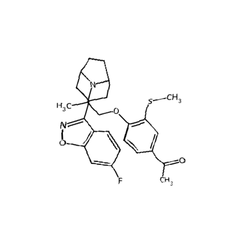 CSc1cc(C(C)=O)ccc1OCC(C)N1C2CCC1CC(c1noc3cc(F)ccc13)C2